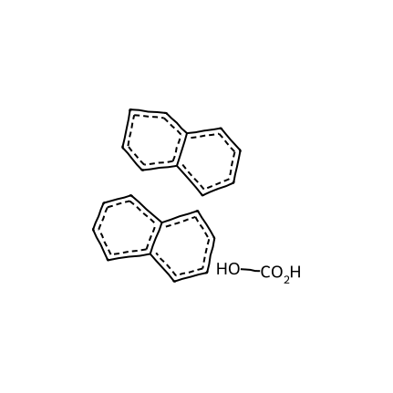 O=C(O)O.c1ccc2ccccc2c1.c1ccc2ccccc2c1